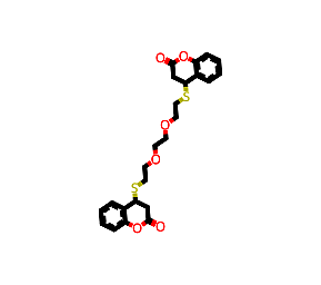 O=C1CC(SCCOCCOCCSC2CC(=O)Oc3ccccc32)c2ccccc2O1